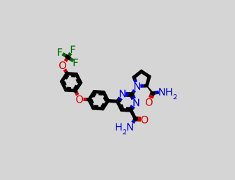 NC(=O)c1cc(-c2ccc(Oc3ccc(OC(F)(F)F)cc3)cc2)nc(N2CCC[C@H]2C(N)=O)n1